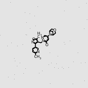 Cc1ccc(-c2noc(C)c2Cn2ncc(N3C4COCC3C4)cc2=O)cn1